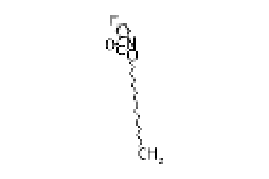 CCCCCCCCCCCCCCCCOc1nc2ccc(F)cc2c(=O)o1